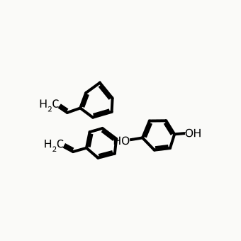 C=Cc1ccccc1.C=Cc1ccccc1.Oc1ccc(O)cc1